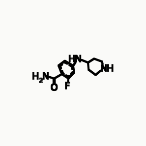 NC(=O)c1ccc(NC2CCNCC2)cc1F